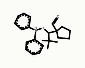 CC(C)(C)C(O[SiH](c1ccccc1)c1ccccc1)C1(C=O)CCCC1